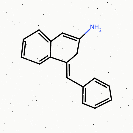 NC1=Cc2ccccc2C(=Cc2ccccc2)C1